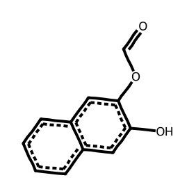 O=COc1cc2ccccc2cc1O